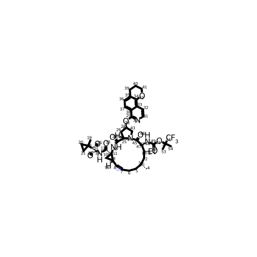 CC[C@@H]1C[C@H](C)CC/C=C\[C@@H]2C[C@@]2(C(=O)NS(=O)(=O)C2(C)CC2)NC(=O)[C@@H]2C[C@@H](Oc3nccc4c5c(ccc34)CCCO5)CN2C(=O)[C@H]1NC(=O)OC(C)(C)C(F)(F)F